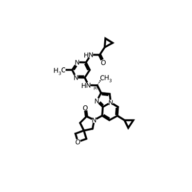 Cc1nc(NC(=O)C2CC2)cc(N[C@H](C)c2cn3cc(C4CC4)cc(N4CC5(COC5)CC4=O)c3n2)n1